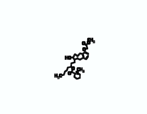 CCCCCC(CCC1C(O)CC2Cc3c(cccc3OCC(=O)OC)CC21)OC(=O)C1CCCCN1C